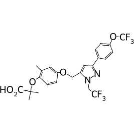 Cc1cc(OCc2cc(-c3ccc(OC(F)(F)F)cc3)nn2CC(F)(F)F)ccc1OC(C)(C)C(=O)O